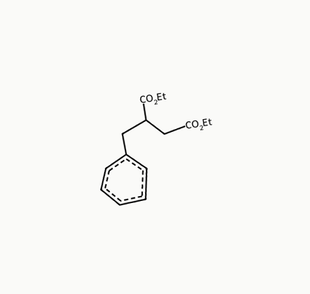 CCOC(=O)CC(Cc1ccccc1)C(=O)OCC